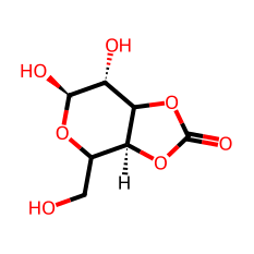 O=C1OC2[C@@H](O1)C(CO)O[C@@H](O)[C@@H]2O